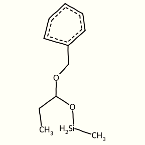 CCC(OCc1ccccc1)O[SiH2]C